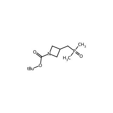 CC(C)(C)OC(=O)N1CC(CP(C)(C)=O)C1